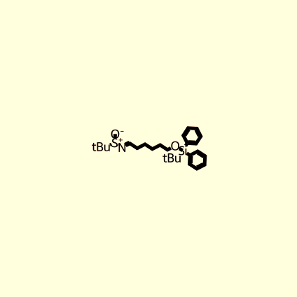 CC(C)(C)[S+]([O-])/N=C/CCCCCO[Si](c1ccccc1)(c1ccccc1)C(C)(C)C